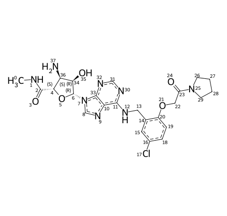 CNC(=O)[C@H]1O[C@@H](n2cnc3c(NCc4cc(Cl)ccc4OCC(=O)N4CCCC4)ncnc32)[C@H](O)[C@@H]1N